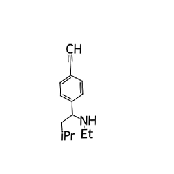 C#Cc1ccc(C(CC(C)C)NCC)cc1